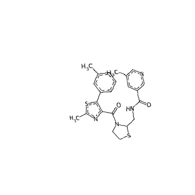 Cc1cncc(C(=O)NCC2SCCN2C(=O)c2nc(C)sc2-c2cccc(C)c2)c1